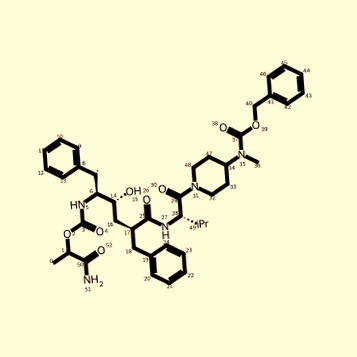 CC(OC(=O)N[C@@H](Cc1ccccc1)[C@H](O)C[C@H](Cc1ccccc1)C(=O)N[C@H](C(=O)N1CCC(N(C)C(=O)OCc2ccccc2)CC1)C(C)C)C(N)=O